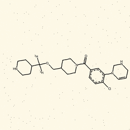 [2H]C([2H])(OCC1CCN(C(=O)c2ccc(Cl)c(N3C=CCNC3)c2)CC1)C1CCNCC1